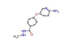 CNNC(=O)c1ccc(Oc2ccc(N)nc2)cc1